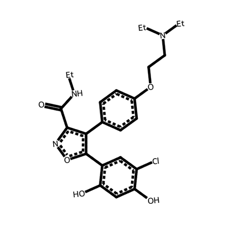 CCNC(=O)c1noc(-c2cc(Cl)c(O)cc2O)c1-c1ccc(OCCN(CC)CC)cc1